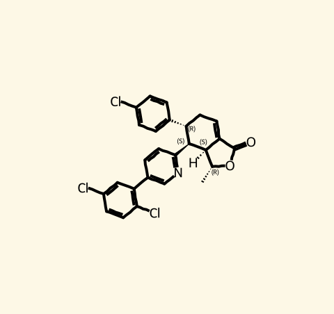 C[C@H]1OC(=O)C2=CC[C@@H](c3ccc(Cl)cc3)[C@H](c3ccc(-c4cc(Cl)ccc4Cl)cn3)[C@@H]21